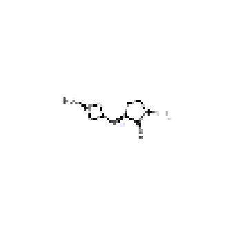 CN1CC(/C=C2\CCN(C)C2=O)C1